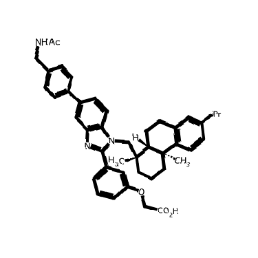 CC(=O)NCc1ccc(-c2ccc3c(c2)nc(-c2cccc(OCC(=O)O)c2)n3C[C@@]2(C)CCC[C@]3(C)c4ccc(C(C)C)cc4CC[C@@H]23)cc1